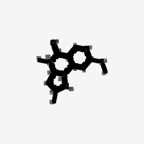 CSc1cc2c(cn1)c(=O)n(C)c1cc(C)nn21